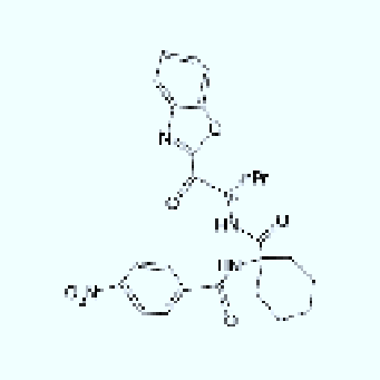 CCC[C@H](NC(=O)C1(NC(=O)c2ccc([N+](=O)[O-])cc2)CCCCC1)C(=O)c1nc2ccccc2o1